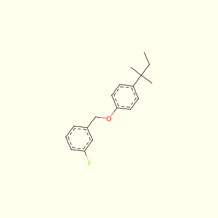 CCC(C)(C)c1ccc(OCc2cccc(F)c2)cc1